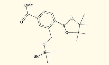 COC(=O)c1ccc(B2OC(C)(C)C(C)(C)O2)c(CO[Si](C)(C)C(C)(C)C)c1